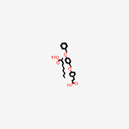 CCCCCCC=C(C)C(=O)O.O=C(O)C=Cc1ccc(OCc2ccc(OCc3ccccc3)cc2)cc1